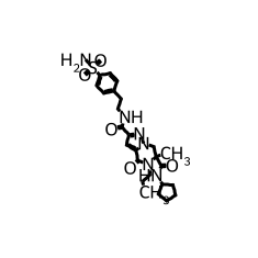 CCCN1C(=O)c2cc(C(=O)NCCc3ccc(S(N)(=O)=O)cc3)nn2CC1(C)C(=O)NC1CCCC1